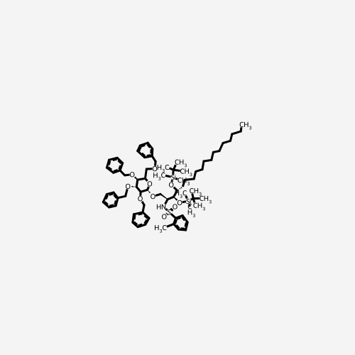 CCCCCCCCCCCCCC[C@@H](O[Si](C)(C)C(C)(C)C)[C@@H](O[Si](C)(C)C(C)(C)C)[C@H](CO[C@H]1OC(COCc2ccccc2)[C@H](OCc2ccccc2)[C@@H](OCc2ccccc2)C1OCc1ccccc1)NS(=O)(=O)c1ccccc1C